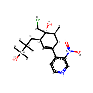 C[C@H]1CC(c2ccncc2[N+](=O)[O-])=C[C@@H](CC(C)(C)[Si](C)(C)O)[C@@]1(O)CBr